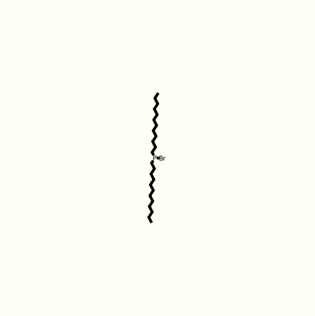 CCCCCCCCCCCCP(Br)CCCCCCCCCCCC